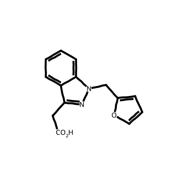 O=C(O)Cc1nn(Cc2ccco2)c2ccccc12